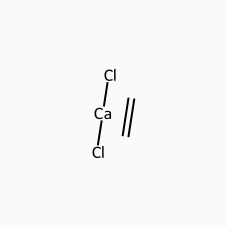 C=C.[Cl][Ca][Cl]